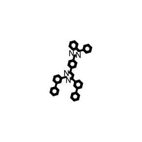 c1ccc(-c2cccc(-c3cc(-c4ccc(-c5nc(-c6ccccc6)c6ccccc6n5)cc4)nc(-c4cccc(-c5ccccc5)c4)n3)c2)cc1